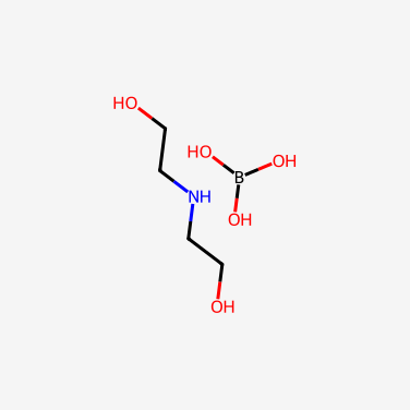 OB(O)O.OCCNCCO